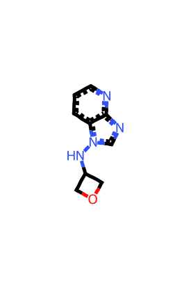 c1cnc2ncn(NC3COC3)c2c1